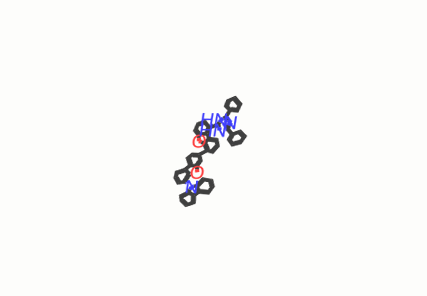 c1ccc(C2=NC(c3ccccc3)NC(c3cccc4oc5c(-c6ccc7c(c6)oc6c(-n8c9ccccc9c9ccccc98)cccc67)cccc5c34)N2)cc1